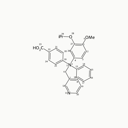 COc1ccc([N+](Cc2cccnc2)(c2ccccc2)c2ccc(C(=O)O)cc2)cc1OC(C)C